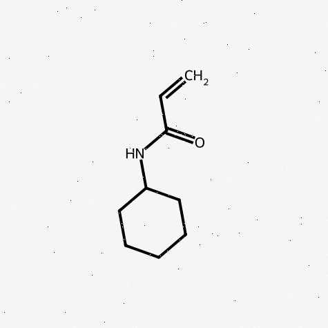 C=CC(=O)NC1CCCCC1